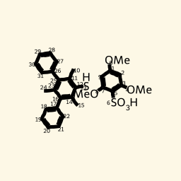 COc1cc(OC)c(S(=O)(=O)O)c(OC)c1.Cc1c(S)c(C)c(-c2ccccc2)c(C)c1-c1ccccc1